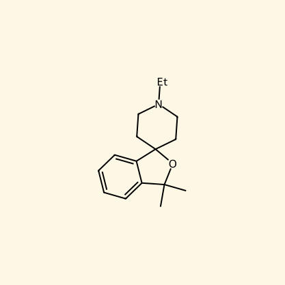 CCN1CCC2(CC1)OC(C)(C)c1ccccc12